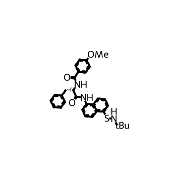 COc1ccc(C(=O)N[C@@H](Cc2ccccc2)C(=O)Nc2cccc3c(SNC(C)(C)C)cccc23)cc1